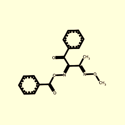 CON=C(C)C(=NOC(=O)c1ccccc1)C(=O)c1ccccc1